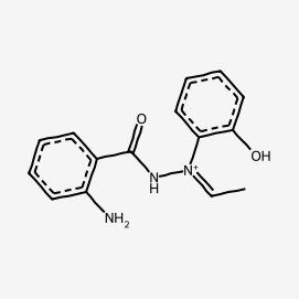 C/C=[N+](/NC(=O)c1ccccc1N)c1ccccc1O